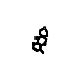 Cc1ccnc2c1OCC1(CCOCC1)N2